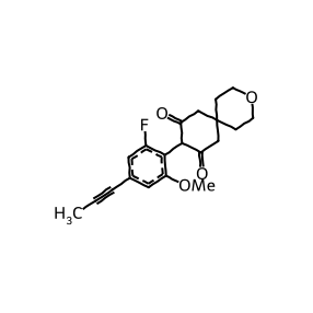 CC#Cc1cc(F)c(C2C(=O)CC3(CCOCC3)CC2=O)c(OC)c1